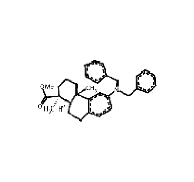 COC(=O)[C@@]1(C)CCC[C@]2(C)c3cc(N(Cc4ccccc4)Cc4ccccc4)ccc3CC[C@@H]12